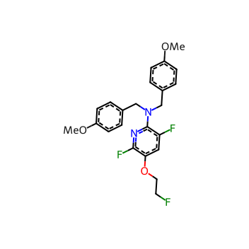 COc1ccc(CN(Cc2ccc(OC)cc2)c2nc(F)c(OCCF)cc2F)cc1